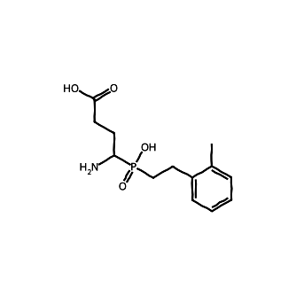 Cc1ccccc1CCP(=O)(O)C(N)CCC(=O)O